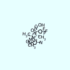 CC[C@H]1CN(C(C(=O)N2CC[C@H](O)C2)c2ccc(C(F)(F)F)cc2)[C@H](CC)CN1c1nc(=O)n(C)c2ccc(C#N)nc12